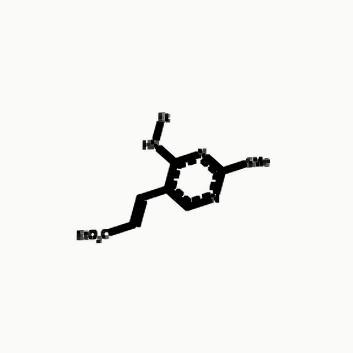 CCNc1nc(SC)ncc1C=CC(=O)OCC